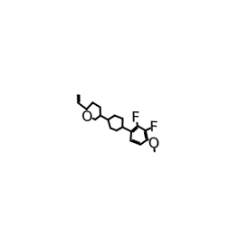 C=CC1CCC(C2CCC(c3ccc(OC)c(F)c3F)CC2)CO1